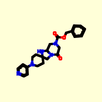 O=C(OCc1ccccc1)N1CC(=O)N2CC3(CCN(c4ccncc4)CC3)NC2C1